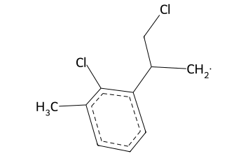 [CH2]C(CCl)c1cccc(C)c1Cl